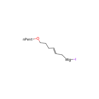 CCCCCOCCC/C=C/C[CH2][Mg][I]